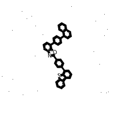 c1ccc2c(-c3ccc(-c4cccc5nc(-c6ccc(-c7cccc8c7sc7ccccc78)cc6)oc45)cc3)cccc2c1